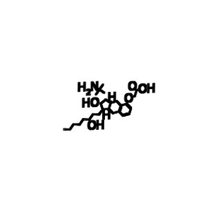 CC(C)(C)N.CCCCCC(O)CC[C@@H]1[C@H]2Cc3cccc(OCC(=O)O)c3C[C@H]2C[C@H]1O